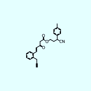 C#CCc1ccccc1C=CC(=O)CC(=O)OCCC(C#N)c1ccc(C)cc1